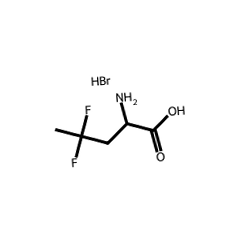 Br.CC(F)(F)CC(N)C(=O)O